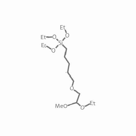 CCOC(COC[CH]CCC[Si](OCC)(OCC)OCC)OC